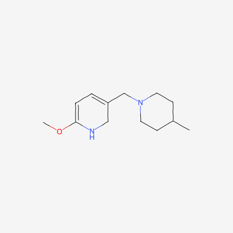 COC1=CC=C(CN2CCC(C)CC2)CN1